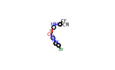 N#Cc1ccc(NC2CCC(OCC(=O)N3CCN(c4ccc5cc(Br)ccc5n4)CC3)CC2)cc1C(F)(F)F